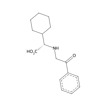 O=C(CN[C@H](C(=O)O)C1CCCCC1)c1ccccc1